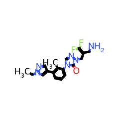 CCn1cc(-c2cccc(-n3cnn(CC(CN)=C(F)F)c3=O)c2C)cn1